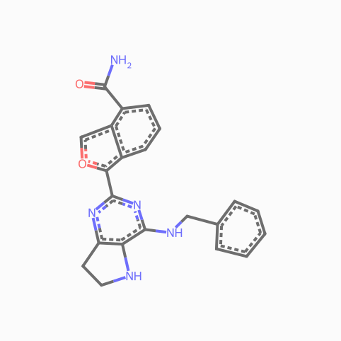 NC(=O)c1cccc2c(-c3nc4c(c(NCc5ccccc5)n3)NCC4)occ12